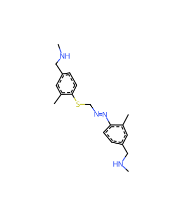 CNCc1ccc(/N=N/CSc2ccc(CNC)cc2C)c(C)c1